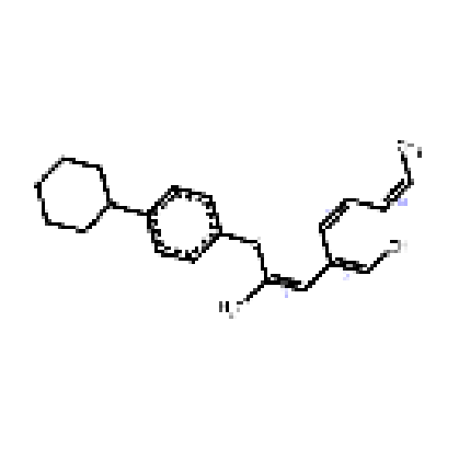 C\C=C/C=C\C(\C=C(\C)Sc1ccc(C2CCCCC2)cc1)=C/C